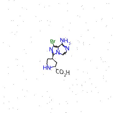 Nc1nccn2c([C@@H]3CCN[C@@H](C(=O)O)C3)nc(Br)c12